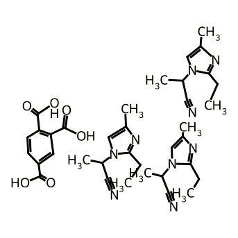 CCc1nc(C)cn1C(C)C#N.CCc1nc(C)cn1C(C)C#N.CCc1nc(C)cn1C(C)C#N.O=C(O)c1ccc(C(=O)O)c(C(=O)O)c1